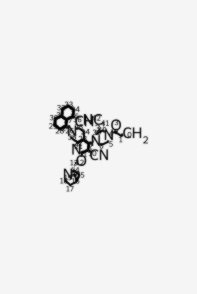 C=CC(=O)N1CCN(c2c(C#N)c(OC[C@@H]3CC4CCN3C4)nc3c2CCN(c2cccc4cccc(C)c24)C3)C[C@@H]1CC#N